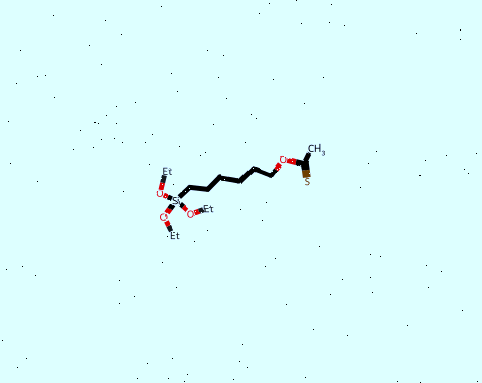 CCO[Si](CCCCCCOC(C)=S)(OCC)OCC